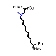 CCCCCCC(CCCC)CCCCCCCCCN(C)CC(CCCC)CCCCCC